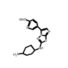 COc1ccc(-c2cnc3sc(NC4CCC(N)CC4)nn23)cn1